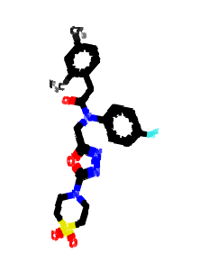 O=C(Cc1ccc(C(F)(F)F)cc1C(F)(F)F)N(Cc1nnc(N2CCS(=O)(=O)CC2)o1)c1ccc(F)cc1